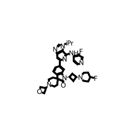 CC(C)n1cnc2cc(-c3ccc4c(c3)N([C@H]3C[C@@H](N5CCC(F)CC5)C3)C(=O)C43CCN(C4COC4)CC3)nc(Nc3ccncc3F)c21